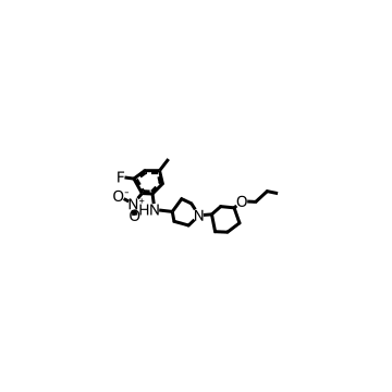 CCCOC1CCCC(N2CCC(Nc3cc(C)cc(F)c3[N+](=O)[O-])CC2)C1